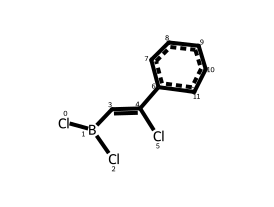 ClB(Cl)C=C(Cl)c1ccccc1